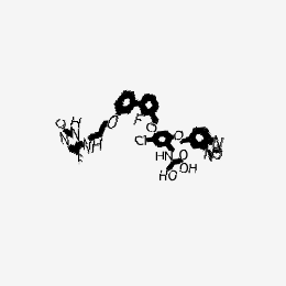 O=C(O)C(CO)NCc1cc(Cl)c(OCc2cccc(-c3cccc(OCCCNc4[nH]c(=O)ncc4F)c3)c2F)cc1OCc1ccc2nonc2c1